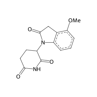 COc1cccc2c1CC(=O)N2C1CCC(=O)NC1=O